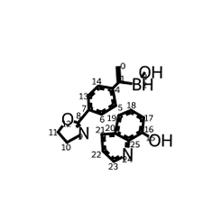 C=C(BO)c1ccc(C2=NCCO2)cc1.Oc1cccc2cccnc12